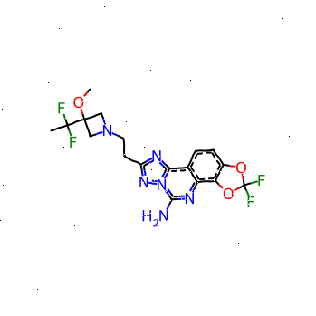 COC1(C(C)(F)F)CN(CCc2nc3c4ccc5c(c4nc(N)n3n2)OC(F)(F)O5)C1